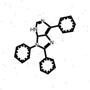 C1=NC(c2ccccc2)=C2N=C(c3ccccc3)N(c3ccccc3)C2N1